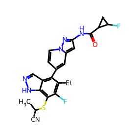 CCc1c(F)c(SC(C)C#N)c2[nH]ncc2c1-c1ccn2nc(NC(=O)C3CC3F)cc2c1